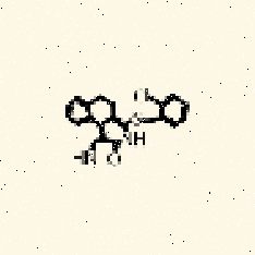 N=Cc1c2c(c(SCc3ccccc3Cl)[nH]c1=O)CCc1ccccc1-2